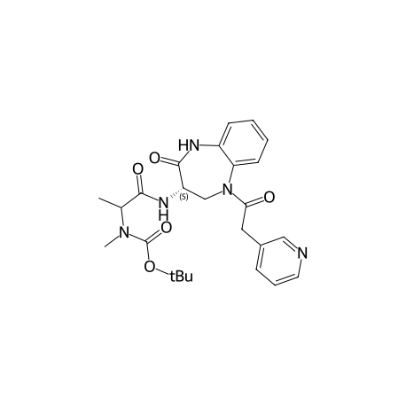 CC(C(=O)N[C@H]1CN(C(=O)Cc2cccnc2)c2ccccc2NC1=O)N(C)C(=O)OC(C)(C)C